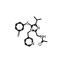 CC(=O)NCc1nc(C(C)C)c(Sc2cccc(F)c2)n1Cc1cccnc1